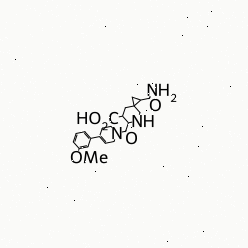 COc1cccc(C2=CCN(C(=O)C3NCC4(CC3C(=O)O)CC4C(N)=O)CC2)c1